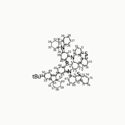 Cc1cc2c3c(c1)N(c1cccc4sc5ccccc5c14)c1cc(N4c5ccccc5C5(C)CCCCC45C)ccc1B3c1ccc(C3c4ccc(C(C)(C)C)cc4C4(C)CCCCC34C)cc1N2c1cccc2c1sc1ccccc12